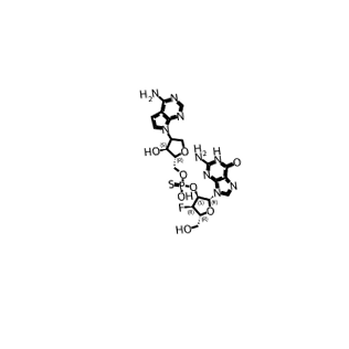 Nc1nc2c(ncn2[C@@H]2O[C@H](CO)[C@@H](F)[C@H]2OP(O)(=S)OC[C@H]2OCC(n3ccc4c(N)ncnc43)[C@@H]2O)c(=O)[nH]1